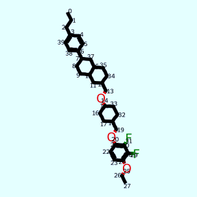 CCCc1ccc(C2CCC3CC(COC4CCC(COc5ccc(OCC)c(F)c5F)CC4)CCC3C2)cc1